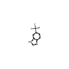 FC(F)(F)c1ccc2nc[nH]c2c1